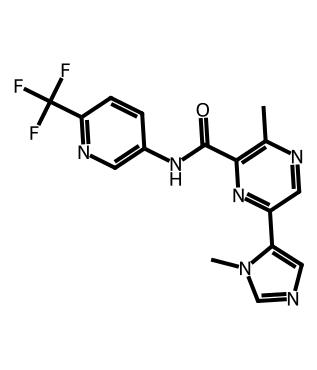 Cc1ncc(-c2cncn2C)nc1C(=O)Nc1ccc(C(F)(F)F)nc1